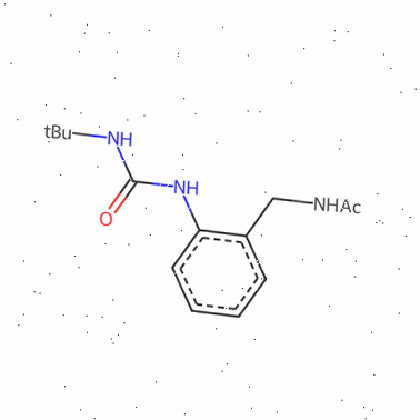 CC(=O)NCc1ccccc1NC(=O)NC(C)(C)C